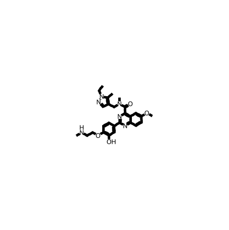 CCn1ncc(CN(C)C(=O)c2nc(-c3ccc(OCCNC)c(O)c3)nc3ccc(OC)cc23)c1C